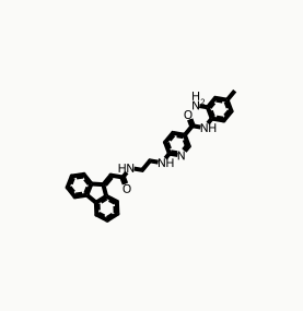 Cc1ccc(NC(=O)c2ccc(NCCNC(=O)C=C3c4ccccc4-c4ccccc43)nc2)c(N)c1